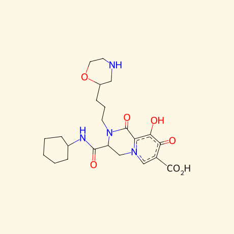 O=C(O)c1cn2c(c(O)c1=O)C(=O)N(CCCC1CNCCO1)C(C(=O)NC1CCCCC1)C2